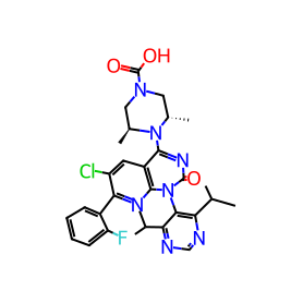 CC(C)c1ncnc(C(C)C)c1-n1c(=O)nc(N2[C@@H](C)CN(C(=O)O)C[C@@H]2C)c2cc(Cl)c(-c3ccccc3F)nc21